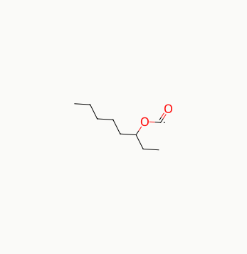 CCCCCC(CC)O[C]=O